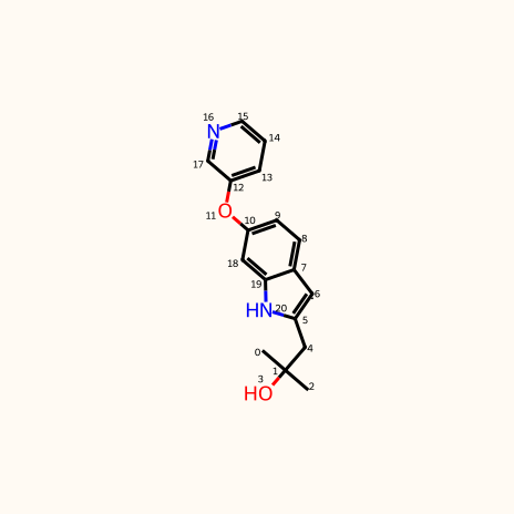 CC(C)(O)Cc1[c]c2ccc(Oc3cccnc3)cc2[nH]1